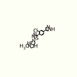 CN1CC[C@@H]2CN(c3nnc(-c4ccc(-c5cn[nH]c5)cc4Cl)s3)C[C@@H]21